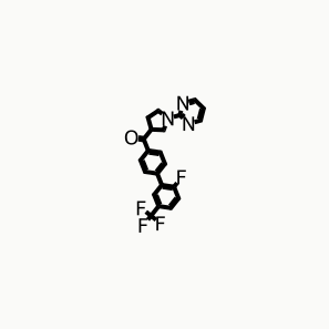 O=C(c1ccc(-c2cc(C(F)(F)F)ccc2F)cc1)C1CCN(c2ncccn2)C1